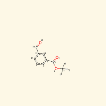 CC(C)(C)OC(=O)c1cccc([C]=O)c1